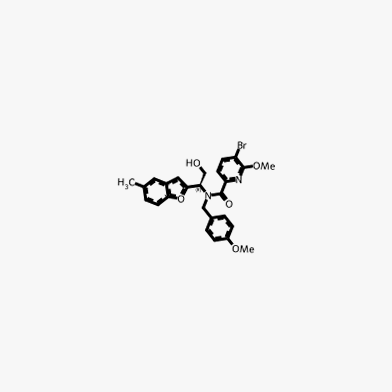 COc1ccc(CN(C(=O)c2ccc(Br)c(OC)n2)[C@H](CO)c2cc3cc(C)ccc3o2)cc1